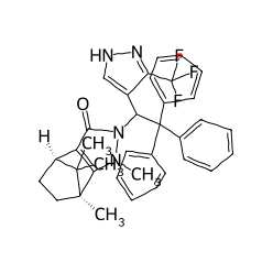 Cn1c2c(c(=O)n1C(c1c[nH]nc1C(F)(F)F)C(c1ccccc1)(c1ccccc1)c1ccccc1)[C@@H]1CC[C@@]2(C)C1(C)C